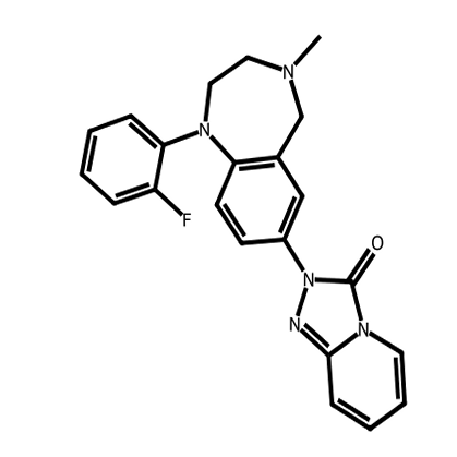 CN1CCN(c2ccccc2F)c2ccc(-n3nc4ccccn4c3=O)cc2C1